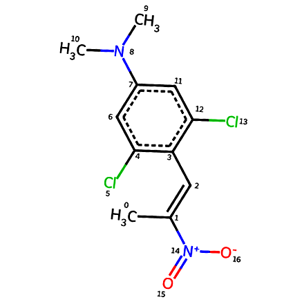 CC(=Cc1c(Cl)cc(N(C)C)cc1Cl)[N+](=O)[O-]